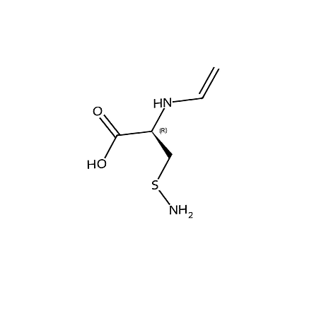 C=CN[C@@H](CSN)C(=O)O